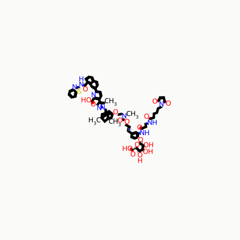 Cc1c(-c2ccc(-c3ccc4cccc(C(=O)Nc5nc6ccccc6s5)c4c3)nc2C(=O)O)cnn1CC12CC3(C)CC(C)(C1)CC(OCCN(C)C(=O)OC/C=C/c1ccc(O[C@@H]4O[C@H](C(=O)O)[C@@H](O)[C@H](O)[C@H]4O)c(NC(=O)CCNC(=O)CCCCCN4C(=O)C=CC4=O)c1)(C3)C2